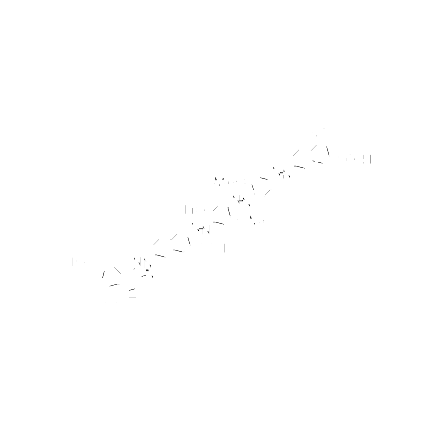 COc1cc(N=Nc2ccc3c(S(=O)(=O)O)cc(S(=O)(=O)O)cc3c2)c(C)cc1N=Nc1cc(O)c(N=Nc2c(S(=O)(=O)O)cc3cc(-n4nc5ccc6c(S(=O)(=O)O)cc(S(=O)(=O)O)cc6c5n4)ccc3c2O)cc1OC